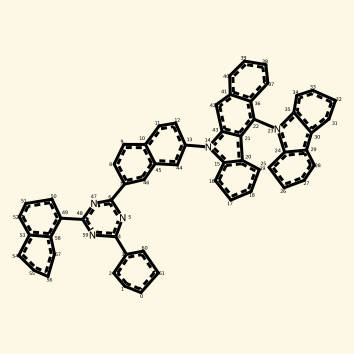 c1ccc(-c2nc(-c3ccc4ccc(-n5c6ccccc6c6c(-n7c8ccccc8c8ccccc87)c7ccccc7cc65)cc4c3)nc(-c3cccc4ccccc34)n2)cc1